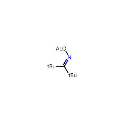 CC(=O)ON=C(C(C)(C)C)C(C)(C)C